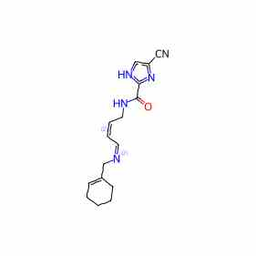 N#Cc1c[nH]c(C(=O)NC/C=C\C=N/CC2=CCCCC2)n1